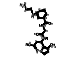 Cc1ccsc1C(CC(=O)O)NC(=O)CNC(=O)c1cccc(NC=NN)c1